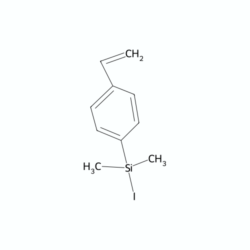 C=Cc1ccc([Si](C)(C)I)cc1